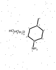 CN1CCN(N)CC1.Cl.Cl.O